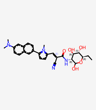 CC[C@H]1OC(O)[C@H](NC(=O)/C(C#N)=C/c2ccc(-c3ccc4cc(N(C)C)ccc4c3)n2C)[C@@H](O)[C@@H]1O